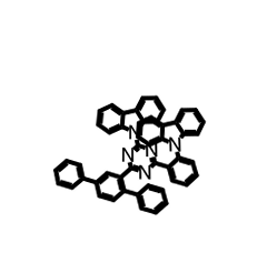 c1ccc(-c2ccc(-c3ccccc3)c(-c3nc(-c4ccccc4-n4c5ccccc5c5ccccc54)nc(-n4c5ccccc5c5ccccc54)n3)c2)cc1